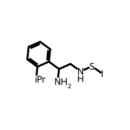 CC(C)c1ccccc1C(N)CNSI